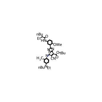 CCCCC(CC)C(=O)Nc1ccc(OC)c(-c2nc3n(n2)/C(=N/c2ccc(N(CC)CCCC)cc2C)C(C#N)=C3C(=O)OC(C)(C)C)c1